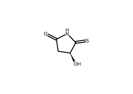 O=C1C[C@H](O)C(=S)N1